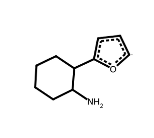 NC1CCCCC1c1cc[c]o1